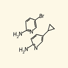 Nc1ccc(Br)cn1.Nc1ccc(C2CC2)cn1